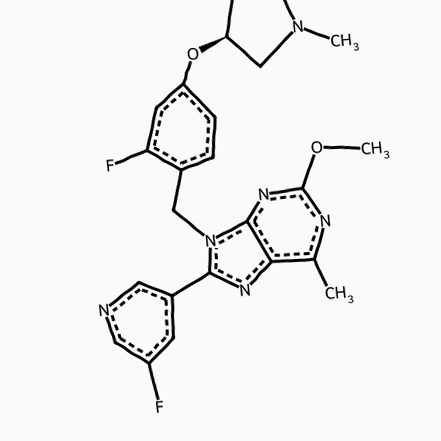 COc1nc(C)c2nc(-c3cncc(F)c3)n(Cc3ccc(O[C@H]4CCN(C)C4)cc3F)c2n1